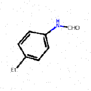 CCc1ccc(NC=O)cc1